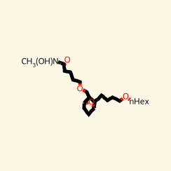 CCCCCCOCCCCC1C2CCC(O2)C1COCCCCC(=O)N(C)O